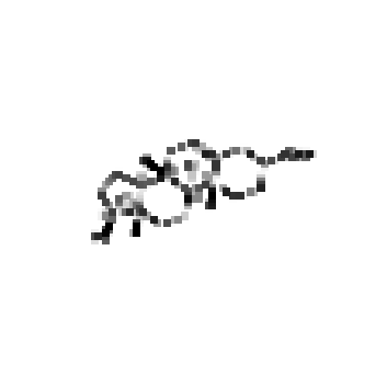 COC1CC[C@@]2(C)C(=CC[C@H]3[C@@H]4CC[C@H](C(C)=O)[C@@]4(C)CC[C@@H]32)C1